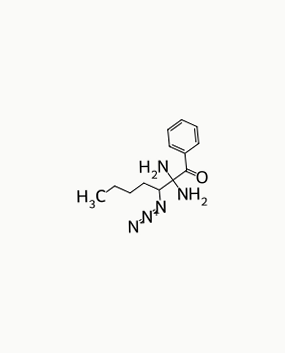 CCCCC(N=[N+]=[N-])C(N)(N)C(=O)c1ccccc1